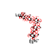 [Ca+2].[Ca+2].[La+3].[La+3].[O]=[Cr](=[O])([O-])[O-].[O]=[Cr](=[O])([O-])[O-].[O]=[Cr](=[O])([O-])[O-].[O]=[Cr](=[O])([O-])[O-].[O]=[Cr](=[O])([O-])[O-]